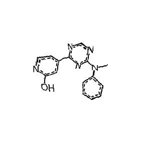 CN(c1ccccc1)c1ncnc(-c2ccnc(O)c2)n1